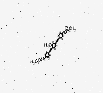 C=COCOCc1ccc(C#Cc2ccc(C#CC3CCC(COC(=O)C=C)CC3)cc2C)cc1F